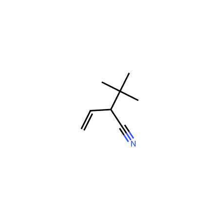 C=CC(C#N)C(C)(C)C